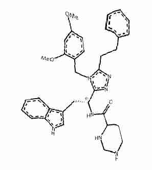 COc1ccc(Cn2c(CCc3ccccc3)nnc2[C@@H](Cc2c[nH]c3ccccc23)NC(=O)C2CCNCN2)c(OC)c1